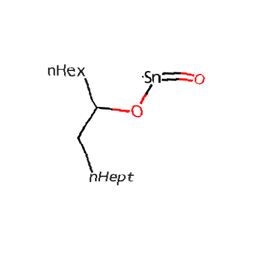 CCCCCCCCC(CCCCCC)[O][Sn]=[O]